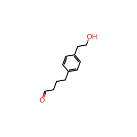 O=CCCCc1ccc(CCO)cc1